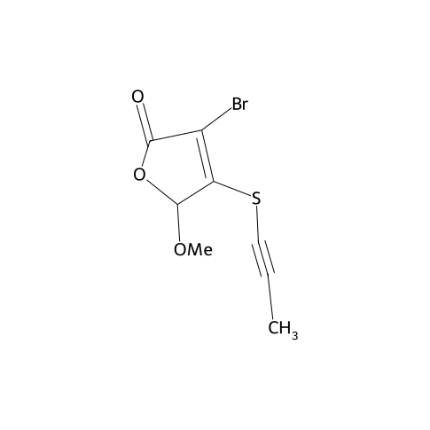 CC#CSC1=C(Br)C(=O)OC1OC